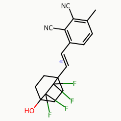 Cc1ccc(/C=C/C23CCC(O)(CC2)C(F)(F)C3(F)F)c(C#N)c1C#N